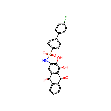 O=C1c2ccccc2C(=O)c2c1cc(NS(=O)(=O)c1ccc(-c3ccc(F)cc3)cc1)c(O)c2O